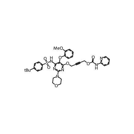 COc1ccccc1Oc1c(NS(=O)(=O)c2ccc(C(C)(C)C)cc2)nc(N2CCOCC2)nc1OCC#CCOC(=O)Nc1ccccn1